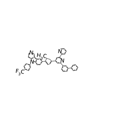 CC1CC(c2cc(-c3cccc(-c4ccccc4)c3)nc(-c3ccccn3)c2)=CC=C1c1ccc2c(c1)c1cnccc1n2-c1ccc(C(F)(F)F)cc1